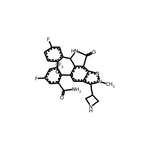 Cn1nc2c3c(c(-c4c(C(N)=O)cc(F)cc4C(F)(F)F)cc2c1C1CNC1)C(c1cc(F)ccc1Cl)NC3=O